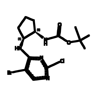 CC(C)(C)OC(=O)N[C@H]1CCC[C@@H]1Nc1nc(Cl)ncc1Br